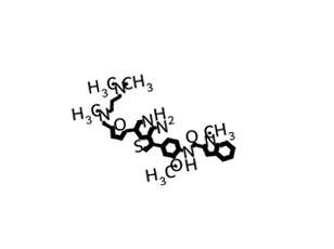 COc1cc(-c2csc3c(-c4ccc(CN(C)CCCN(C)C)o4)cnc(N)c23)ccc1NC(=O)c1cc2ccccc2n1C